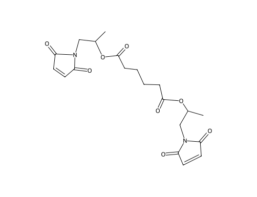 CC(CN1C(=O)C=CC1=O)OC(=O)CCCCC(=O)OC(C)CN1C(=O)C=CC1=O